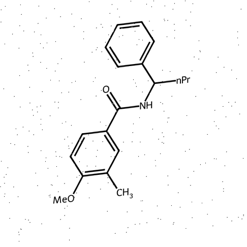 CCCC(NC(=O)c1ccc(OC)c(C)c1)c1ccccc1